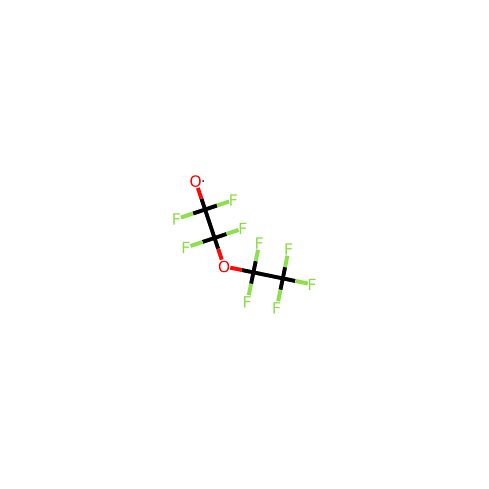 [O]C(F)(F)C(F)(F)OC(F)(F)C(F)(F)F